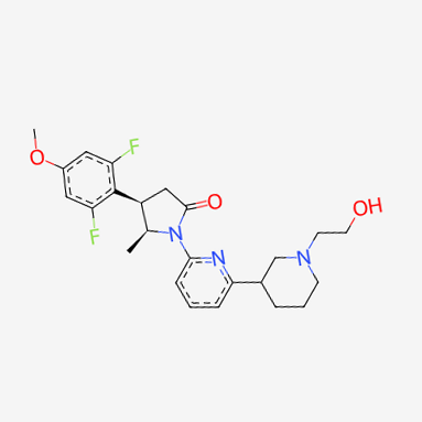 COc1cc(F)c([C@H]2CC(=O)N(c3cccc(C4CCCN(CCO)C4)n3)[C@H]2C)c(F)c1